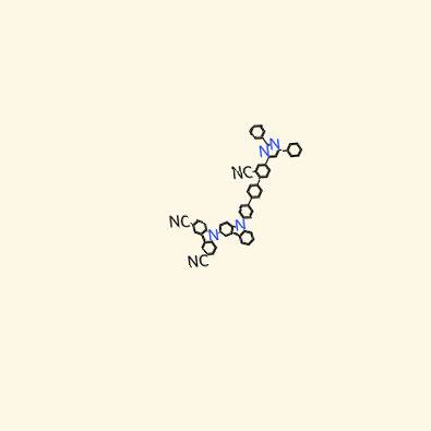 N#Cc1ccc2c(c1)c1cc(C#N)ccc1n2-c1ccc2c(c1)c1ccccc1n2-c1ccc(-c2ccc(-c3ccc(-c4cc(-c5ccccc5)nc(-c5ccccc5)n4)cc3C#N)cc2)cc1